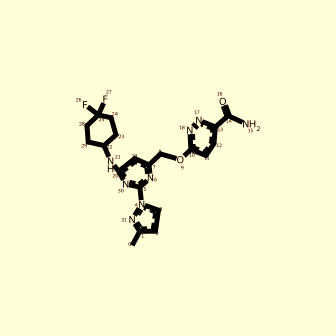 Cc1ccn(-c2nc(COc3ccc(C(N)=O)nn3)cc(NC3CCC(F)(F)CC3)n2)n1